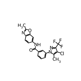 Cc1nc2ccc(NC(=O)c3cccc(-n4nc(C(F)(F)F)c(Cl)c4C)c3)cc2o1